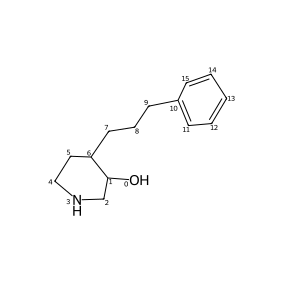 OC1CNCCC1CCCc1ccccc1